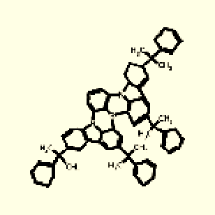 CC(C)(C1=CCCC=C1)C1=CC2B3c4cc(C(C)(C)C5=CC=CCC5)cc5c4N(c4cccc(c43)N3c4ccc(C(C)(C)C6=CCCCC6)cc4C(=C1)C23)C1CCC(C(C)(C)C2=CC=CCC2)C=C51